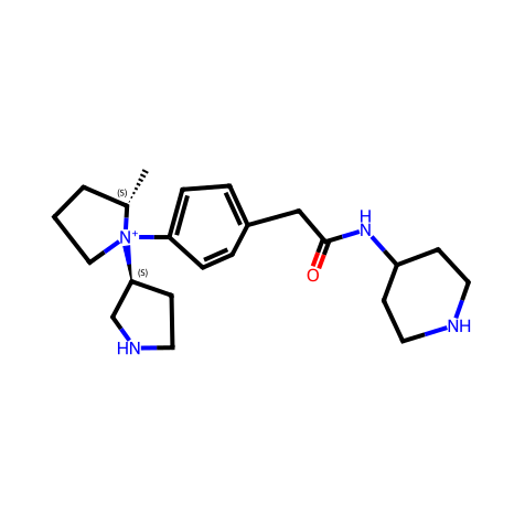 C[C@H]1CCC[N+]1(c1ccc(CC(=O)NC2CCNCC2)cc1)[C@H]1CCNC1